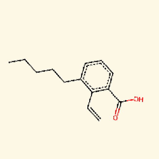 C=Cc1c(CCCCC)cccc1C(=O)O